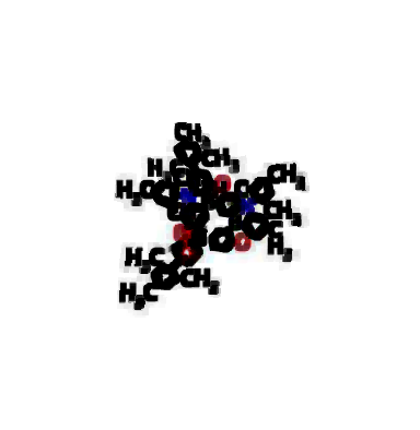 Cc1cc(C)c(-c2cc3c4c(c2)Oc2cc5c(cc2B4c2ccccc2O3)B2c3cc4c(cc3Oc3cc(-c6c(C)cc(C)cc6C)cc(c32)N5c2c(C)cc(C)cc2C)N(c2c(C)cc(C)cc2C)c2cc(C)cc3c2B4c2ccccc2O3)c(C)c1